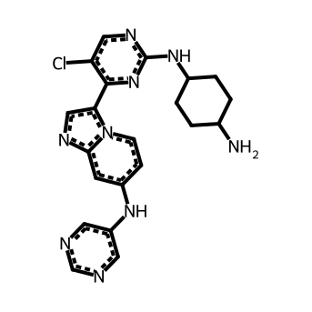 NC1CCC(Nc2ncc(Cl)c(-c3cnc4cc(Nc5cncnc5)ccn34)n2)CC1